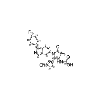 C[C@@H]1C(=O)N(c2ccc3c(cnn3-c3ccc(F)cc3)c2)[C@H](c2ccc(Cl)s2)[C@H]1NC(=O)O